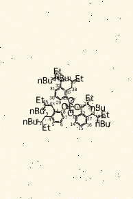 CCCCC(CC)Cc1cccc(OP(=O)(Oc2cccc(CC(CC)CCCC)c2CC(CC)CCCC)Oc2cccc(CC(CC)CCCC)c2CC(CC)CCCC)c1CC(CC)CCCC